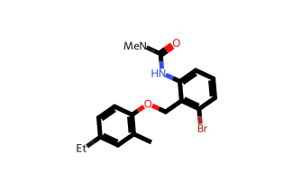 CCc1ccc(OCc2c(Br)cccc2NC(=O)NC)c(C)c1